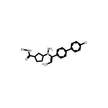 CCNC(=O)C1CCC(N(N)/C(=C\N)c2ccc(-c3ccc(Cl)cc3)cc2)C1